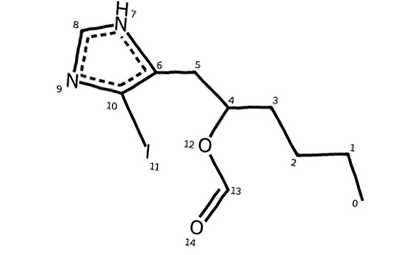 CCCCC(Cc1[nH]cnc1I)OC=O